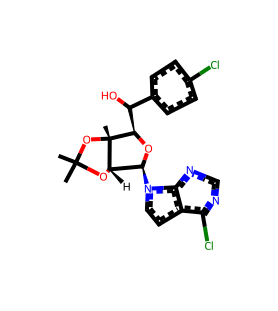 CC1(C)O[C@H]2[C@H](n3ccc4c(Cl)ncnc43)O[C@H](C(O)c3ccc(Cl)cc3)[C@@]2(C)O1